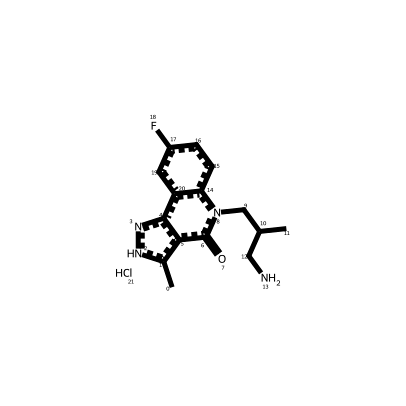 Cc1[nH]nc2c1c(=O)n(CC(C)CN)c1ccc(F)cc21.Cl